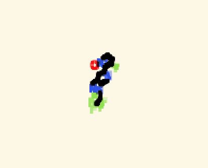 [O-][n+]1cccc(F)c1-c1cc2cnn(CC(F)(F)C(F)(F)F)c2cn1